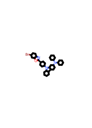 Brc1ccc2nc(-c3ccc(-n4c5ccccc5c5ccc(N(c6ccccc6)c6ccccc6)cc54)cc3)oc2c1